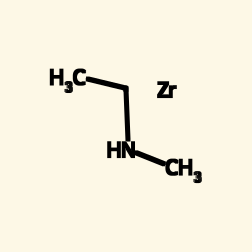 CCNC.[Zr]